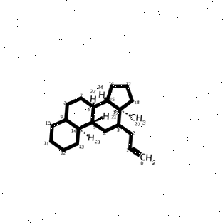 C=CCC1C[C@H]2[C@@H](CCC3CCCC[C@@H]32)[C@@H]2CCC[C@@]12C